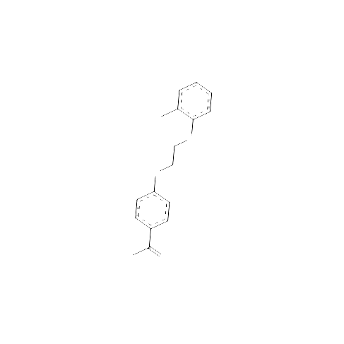 CC(=O)c1ccc(OCCOc2ccccc2C)cc1